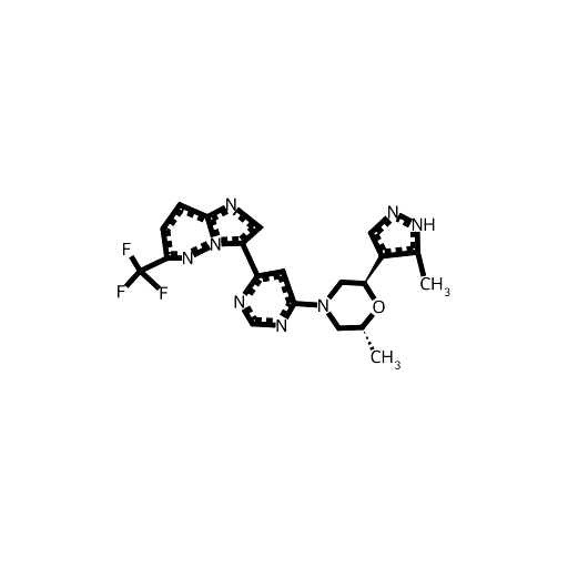 Cc1[nH]ncc1[C@@H]1CN(c2cc(-c3cnc4ccc(C(F)(F)F)nn34)ncn2)C[C@@H](C)O1